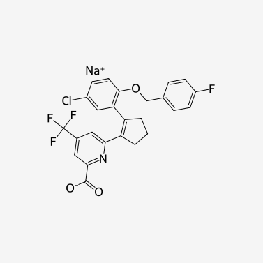 O=C([O-])c1cc(C(F)(F)F)cc(C2=C(c3cc(Cl)ccc3OCc3ccc(F)cc3)CCC2)n1.[Na+]